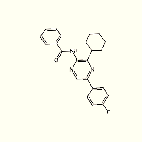 O=C(Nc1ncc(-c2ccc(F)cc2)nc1C1CCCCC1)c1ccccc1